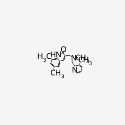 Cc1cc(C)c2[nH]c(=O)c(CN(C)Cc3ncccc3C)cc2c1